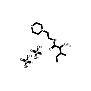 CCC(C)C([AsH2])C(=O)NCCN1CCOCC1.O=S(=O)(O)O.O=S(=O)(O)O